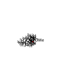 [2H]c1c([2H])c(OC)c([2H])c2c1C[C@]1([2H])N(C([2H])([2H])[2H])CC[C@]23C([2H])([2H])C([2H])([2H])C([2H])(C)C([2H])([2H])[C@]13[2H]